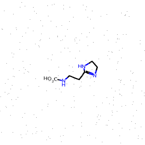 O=C(O)NCCC1=NCCN1